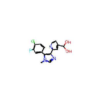 Cn1cnc(-c2cc(C(O)O)ccn2)c1-c1ccc(Cl)c(F)c1